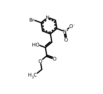 CCOC(=O)C(O)=Cc1cc(Br)ncc1[N+](=O)[O-]